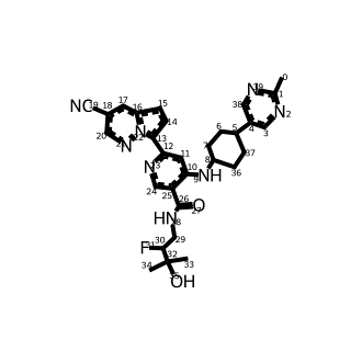 Cc1ncc(C2CCC(Nc3cc(-c4ccc5cc(C#N)cnn45)ncc3C(=O)NCC(F)C(C)(C)O)CC2)cn1